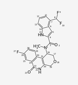 CN(C(=O)c1cc2c(C(F)F)cccc2[nH]1)C1COCc2[nH]c(=O)c3cc(F)ccc3c21